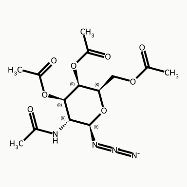 CC(=O)N[C@@H]1[C@@H](OC(C)=O)[C@@H](OC(C)=O)[C@@H](COC(C)=O)O[C@H]1N=[N+]=[N-]